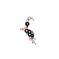 CCOc1ccc(COC2(O)CC[C@@]3(C)C(=CC[C@H]4[C@@H]5CC[C@H](C(C)=O)[C@@]5(C)CC[C@@H]43)C2)cc1